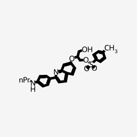 CCCNc1ccc(-c2ccc3ccc(OC(CO)COS(=O)(=O)c4ccc(C)cc4)cc3n2)cc1